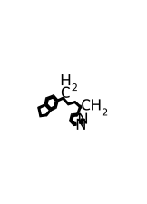 C=C(CCC(=C)c1cccnn1)c1ccc2c(c1)CCC2